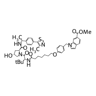 COC(=O)c1ccc2ccn(Cc3ccc(OCCCCCCC(=O)N[C@H](C(=O)N4C[C@H](O)C[C@H]4C(=O)N[C@@H](C)c4ccc(-c5scnc5C)cc4)C(C)(C)C)cc3)c2c1